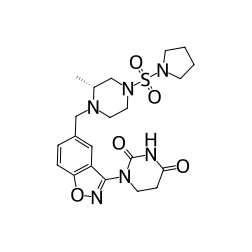 C[C@@H]1CN(S(=O)(=O)N2CCCC2)CCN1Cc1ccc2onc(N3CCC(=O)NC3=O)c2c1